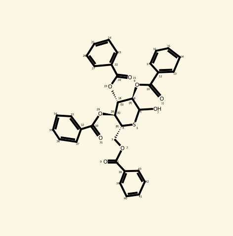 O=C(OC[C@H]1SC(O)[C@H](OC(=O)c2ccccc2)[C@@H](OC(=O)c2ccccc2)[C@@H]1OC(=O)c1ccccc1)c1ccccc1